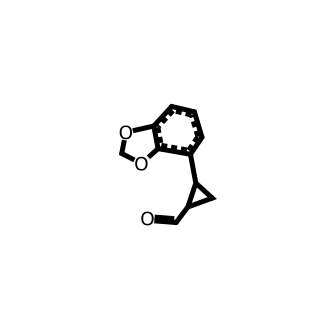 O=CC1CC1c1cccc2c1OCO2